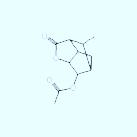 CC(=O)OC1C2CC3C1OC(=O)C3C2C